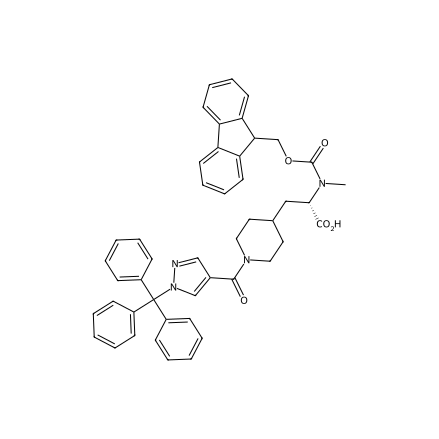 CN(C(=O)OCC1c2ccccc2-c2ccccc21)[C@@H](CC1CCN(C(=O)c2cnn(C(c3ccccc3)(c3ccccc3)c3ccccc3)c2)CC1)C(=O)O